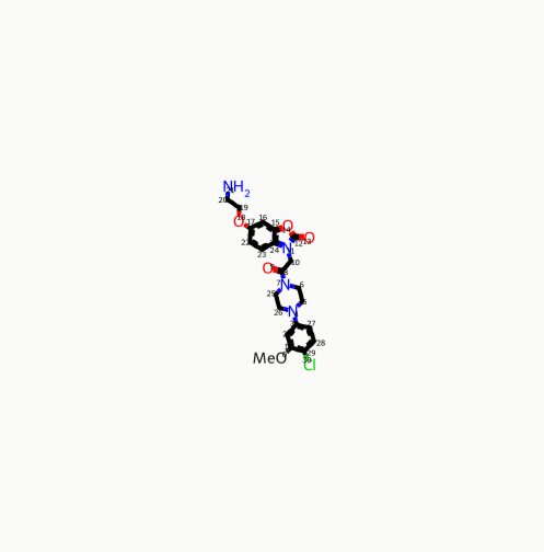 COc1cc(N2CCN(C(=O)Cn3c(=O)oc4cc(OCCN)ccc43)CC2)ccc1Cl